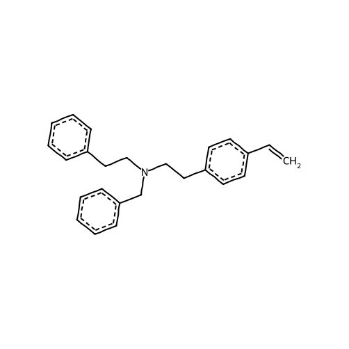 C=Cc1ccc(CCN(CCc2ccccc2)Cc2ccccc2)cc1